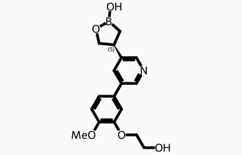 COc1ccc(-c2cncc([C@H]3COB(O)C3)c2)cc1OCCO